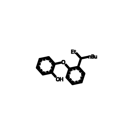 CCCCC(CC)c1ccccc1Oc1ccccc1O